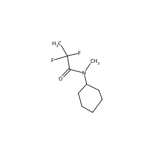 CN(C(=O)C(C)(F)F)C1CCCCC1